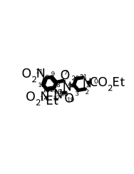 CCOC(=O)N1CCC(n2c(=O)c3cc([N+](=O)[O-])cc([N+](=O)[O-])c3n(CC)c2=O)CC1